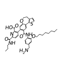 CCCCCCCCOc1cc(CN)ccc1NC(=O)c1cc2c(cc1-c1ccc(C(=O)NCCC)nc1C(=O)O)OCCc1ccsc1-2